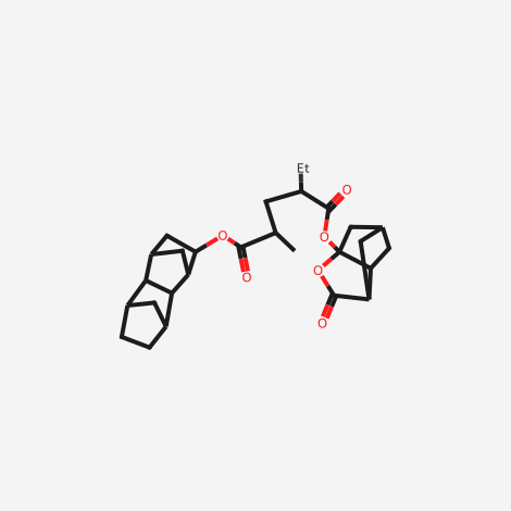 CCC(CC(C)C(=O)OC1CC2CC1C1C3CCC(C3)C21)C(=O)OC12CC3CC(C(=O)O1)C2C3